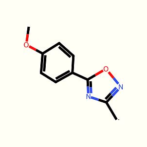 [CH2]c1noc(-c2ccc(OC)cc2)n1